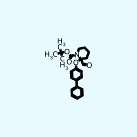 CC(C)(C)OC(=O)N1CCCCC1(C=O)Oc1ccc(-c2ccccc2)cc1